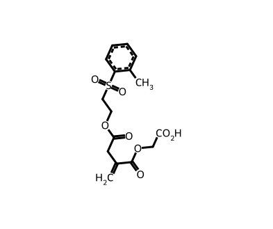 C=C(CC(=O)OCCS(=O)(=O)c1ccccc1C)C(=O)OCC(=O)O